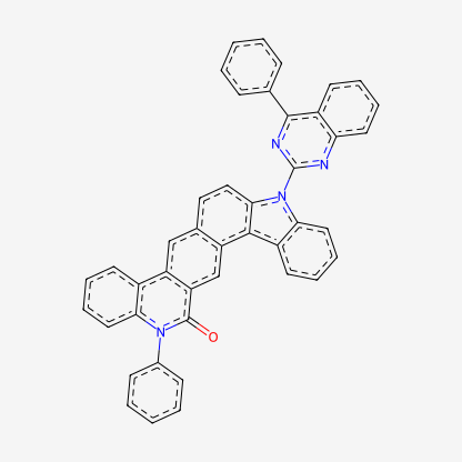 O=c1c2cc3c(ccc4c3c3ccccc3n4-c3nc(-c4ccccc4)c4ccccc4n3)cc2c2ccccc2n1-c1ccccc1